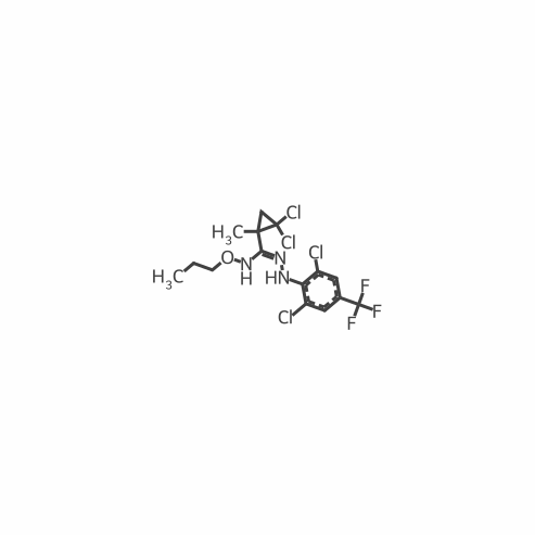 CCCONC(=NNc1c(Cl)cc(C(F)(F)F)cc1Cl)C1(C)CC1(Cl)Cl